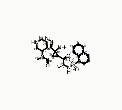 C[C@H](NS(=O)(=O)c1cccc2ccccc12)C(=O)C1[C@H](C(=O)N(C)C2CCCNC2)C1([NH])C=NN